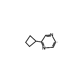 [c]1cnc(C2CCC2)cn1